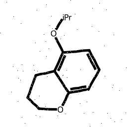 CC(C)Oc1cccc2c1CCCO2